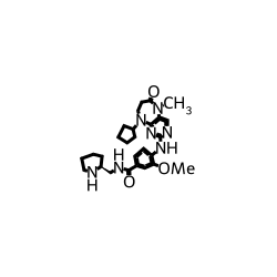 COc1cc(C(=O)NC[C@@H]2CCCCN2)ccc1Nc1ncc2c(n1)N(C1CCCC1)CCC(=O)N2C